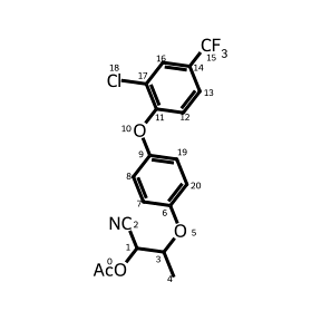 CC(=O)OC(C#N)C(C)Oc1ccc(Oc2ccc(C(F)(F)F)cc2Cl)cc1